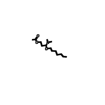 CCCCCCCOC(CCOC(C)=O)N(C)C